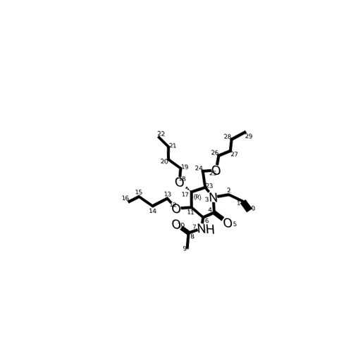 C#CCN1C(=O)C(NC(C)=O)C(OCCCC)[C@H](OCCCC)C1COCCCC